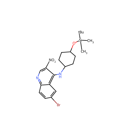 CC(C)(C)[Si](C)(C)OC1CCC(Nc2c([N+](=O)[O-])cnc3ccc(Br)cc23)CC1